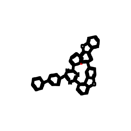 c1ccc(-c2ccc(-c3nc(-c4ccccc4)nc(-c4cccc5oc6ccc(-c7ccc8oc9ccccc9c8c7)cc6c45)n3)cc2)cc1